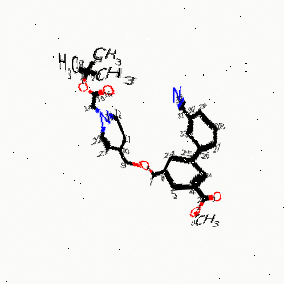 COC(=O)c1cc(COCC2CCN(CC(=O)OC(C)(C)C)CC2)cc(-c2cccc(C#N)c2)c1